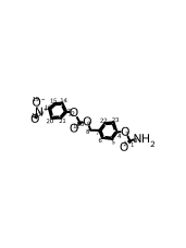 NC(=O)Oc1ccc(COC(=O)Oc2ccc([N+](=O)[O-])cc2)cc1